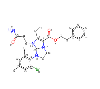 CCC1=C(C(=O)OCCc2ccccc2)N2CCN(c3c(C)cc(C)cc3Br)C2N1CCC(N)=O